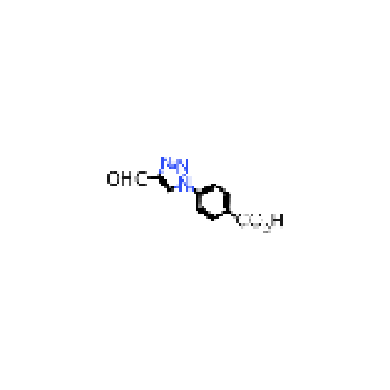 O=Cc1cn(-c2ccc(C(=O)O)cc2)nn1